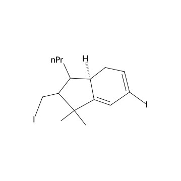 CCCC1C(CI)C(C)(C)C2=CC(I)=CC[C@@H]21